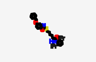 CC(C)c1cccc(C(C)C)c1NC(=O)CCCCCSc1nc2cc(OCc3ccccc3)ccc2o1